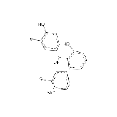 Oc1ccccc1[S-].Oc1ccccc1[S-].Oc1ccccc1[S-].[Sb+3]